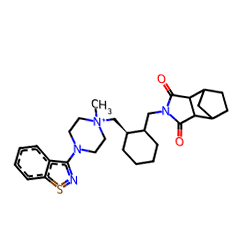 C[N+]1(C[C@@H]2CCCCC2CN2C(=O)C3C4CCC(C4)C3C2=O)CCN(c2nsc3ccccc23)CC1